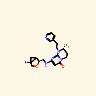 O=c1cc(NC[C@H]2OC[C@@H]3CC32)nc2n1CC[C@@H](C(F)(F)F)N2CCc1cccnc1